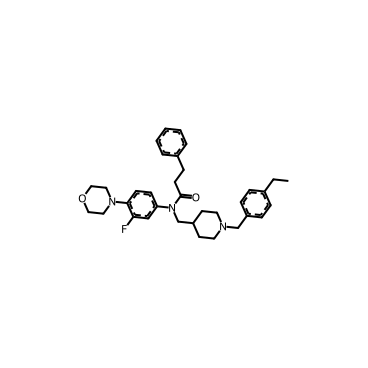 CCc1ccc(CN2CCC(CN(C(=O)CCc3ccccc3)c3ccc(N4CCOCC4)c(F)c3)CC2)cc1